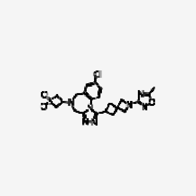 Cc1nc(N2CC3(CC(c4nnc5n4-c4ccc(Cl)cc4CN(C4CS(=O)(=O)C4)C5)C3)C2)no1